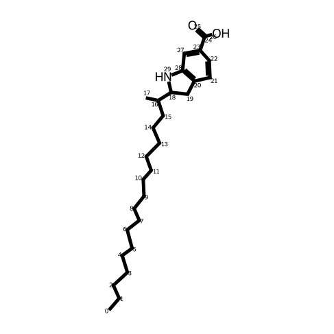 CCCCCCCCCCCCCCCCC(C)C1Cc2ccc(C(=O)O)cc2N1